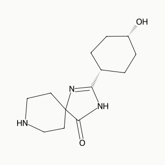 O=C1NC([C@H]2CC[C@@H](O)CC2)=NC12CCNCC2